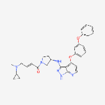 CN(C/C=C/C(=O)N1CC[C@@H](Nc2n[nH]c3nccc(Oc4cccc(Oc5ccccc5)c4)c23)C1)C1CC1